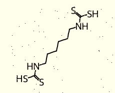 S=C(S)NCCCCCCNC(=S)S